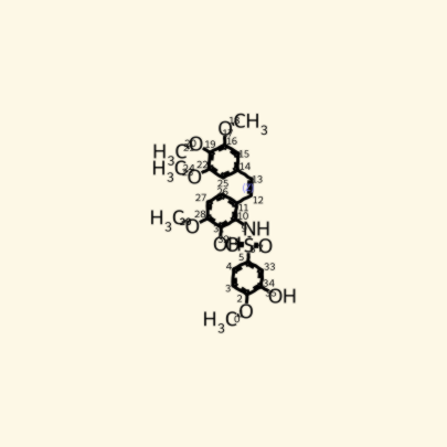 COc1ccc(S(=O)(=O)Nc2c(/C=C\c3cc(OC)c(OC)c(OC)c3)ccc(OC)c2O)cc1O